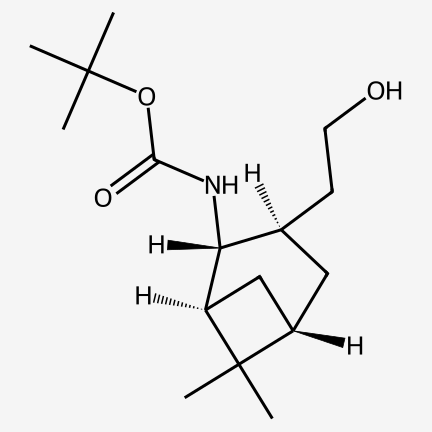 CC(C)(C)OC(=O)N[C@@H]1[C@@H](CCO)C[C@H]2C[C@H]1C2(C)C